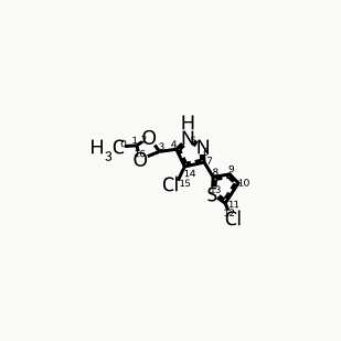 CC1OC(c2[nH]nc(-c3ccc(Cl)s3)c2Cl)O1